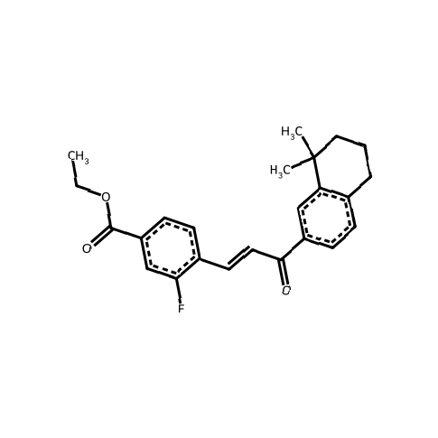 CCOC(=O)c1ccc(/C=C/C(=O)c2ccc3c(c2)C(C)(C)CCC3)c(F)c1